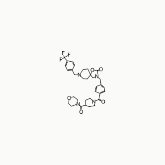 O=C1OC2(CCN(Cc3ccc(C(F)(F)F)cc3)CC2)CN1Cc1ccc(C(=O)N2CCC(C(=O)N3CCOCC3)CC2)cc1